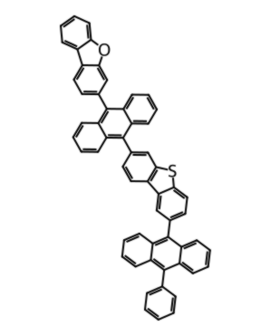 c1ccc(-c2c3ccccc3c(-c3ccc4sc5cc(-c6c7ccccc7c(-c7ccc8c(c7)oc7ccccc78)c7ccccc67)ccc5c4c3)c3ccccc23)cc1